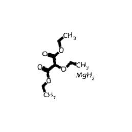 CCOC(=O)C(OCC)C(=O)OCC.[MgH2]